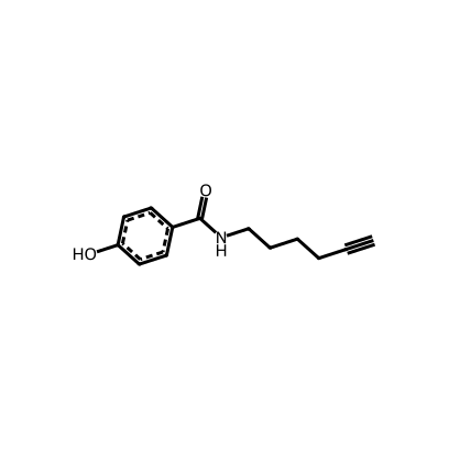 C#CCCCCNC(=O)c1ccc(O)cc1